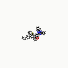 c1ccc(-c2ccc(-c3cc(-c4cccc5oc6cc(-c7nc(-c8ccccc8)nc(-c8ccccc8)n7)ccc6c45)cc4sc5ccccc5c34)cc2)cc1